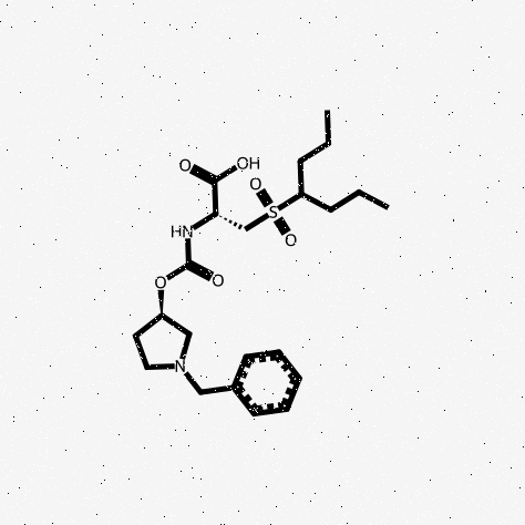 CCCC(CCC)S(=O)(=O)C[C@H](NC(=O)O[C@@H]1CCN(Cc2ccccc2)C1)C(=O)O